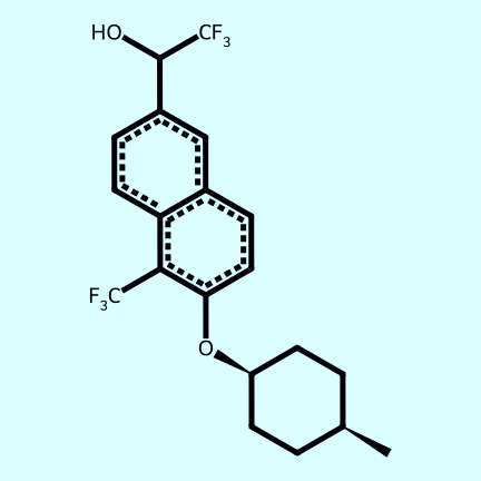 C[C@H]1CC[C@@H](Oc2ccc3cc(C(O)C(F)(F)F)ccc3c2C(F)(F)F)CC1